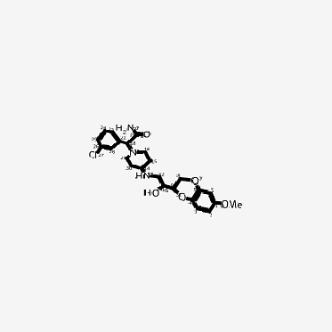 COc1ccc2c(c1)OCC(C(O)CNC1CCN(C(C(N)=O)c3cccc(Cl)c3)CC1)O2